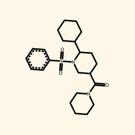 O=C(C1CCC(C2CCCCC2)N(S(=O)(=O)c2ccccc2)C1)N1CCCCC1